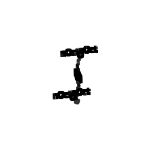 CCCCCCCCC(CCCCCCCC)OCCCCCCCN1CC2CN(CCCCCCCC(OC(CCCCCCCC)CCCCCCCC)=C3CCC3)CC(C1)O2